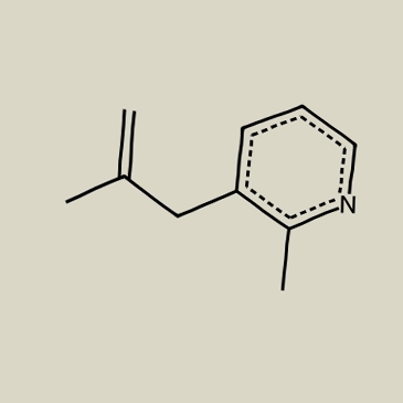 C=C(C)Cc1cccnc1C